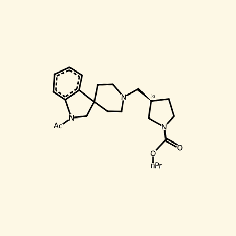 CCCOC(=O)N1CC[C@H](CN2CCC3(CC2)CN(C(C)=O)c2ccccc23)C1